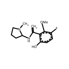 C=C(NC1CCCN1C)c1c(O)ccc(F)c1OC